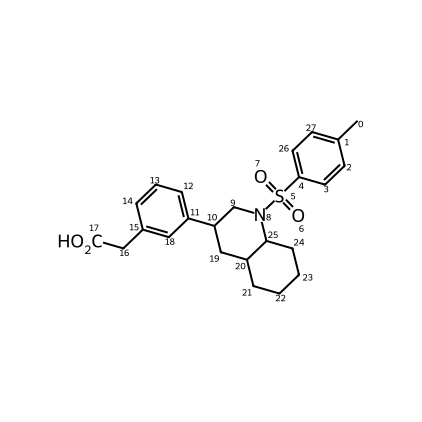 Cc1ccc(S(=O)(=O)N2CC(c3cccc(CC(=O)O)c3)CC3CCCCC32)cc1